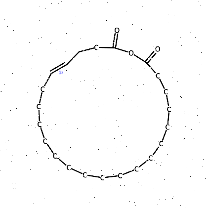 O=C1CC/C=C/CCCCCCCCCCCCCCCCC(=O)O1